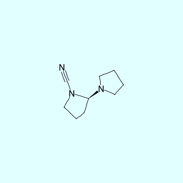 N#CN1CCC[C@@H]1N1CCCC1